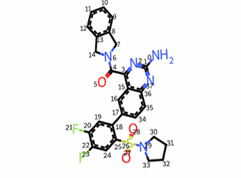 Nc1nc(C(=O)N2Cc3ccccc3C2)c2cc(-c3cc(F)c(F)cc3S(=O)(=O)N3CCCC3)ccc2n1